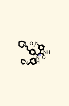 O=C1Nc2ccc([N+](=O)[O-])cc2/C1=C(/Nc1ccc(CN2CCCC2)cc1)c1ccc(CCN2CCCCC2)cc1